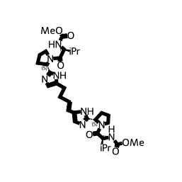 COC(=O)N[C@H](C(=O)N1CCC[C@H]1c1ncc(C=CCCc2cnc([C@@H]3CCCN3C(=O)[C@@H](NC(=O)OC)C(C)C)[nH]2)[nH]1)C(C)C